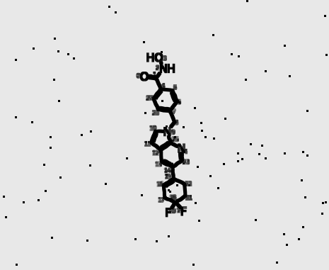 O=C(NO)c1ccc(Cn2ccc3cc(C4=CCC(F)(F)CC4)cnc32)cc1